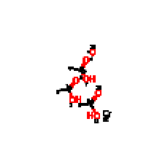 CC(=O)O.CC(=O)O.CC(=O)O.[Cr].[O]